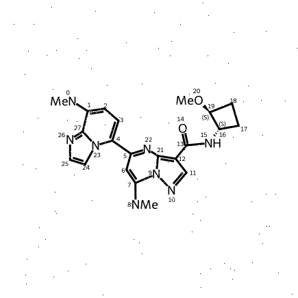 CNc1ccc(-c2cc(NC)n3ncc(C(=O)N[C@H]4CC[C@@H]4OC)c3n2)n2ccnc12